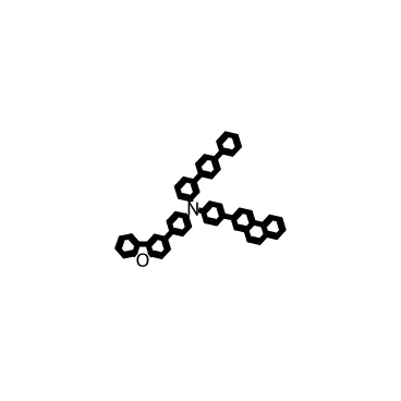 c1ccc(-c2ccc(-c3cccc(N(c4ccc(-c5ccc6c(ccc7ccccc76)c5)cc4)c4ccc(-c5ccc6oc7ccccc7c6c5)cc4)c3)cc2)cc1